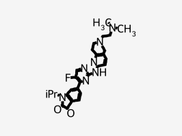 CC(C)N1C(=O)C(=O)c2ccc(-c3nc(Nc4ccc5c(n4)CCN(CCN(C)C)C5)ncc3F)cc21